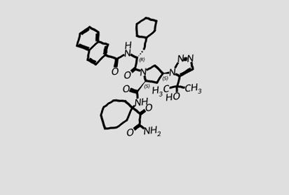 CC(C)(O)c1cnnn1[C@H]1C[C@@H](C(=O)NC2(C(=O)C(N)=O)CCCCCCC2)N(C(=O)[C@@H](CC2CCCCC2)NC(=O)c2ccc3ccccc3c2)C1